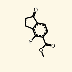 COC(=O)c1ccc2c(c1F)CCC2=O